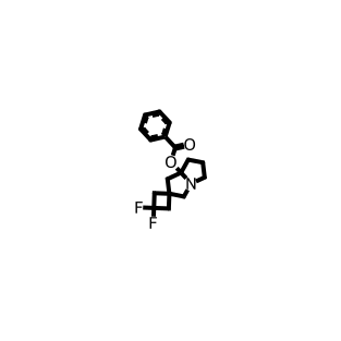 O=C(OC12CCCN1CC1(CC(F)(F)C1)C2)c1ccccc1